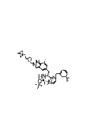 Cc1cc(CC(NC(=O)OC(C)(C)C)c2nccn2Cc2cccc(F)c2)cc2cn(COCC[Si](C)(C)C)nc12